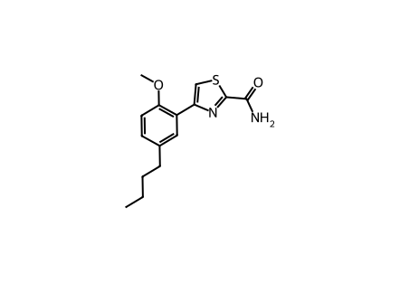 CCCCc1ccc(OC)c(-c2csc(C(N)=O)n2)c1